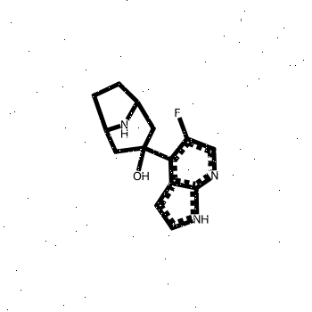 OC1(c2c(F)cnc3[nH]ccc23)CC2CCC(C1)N2